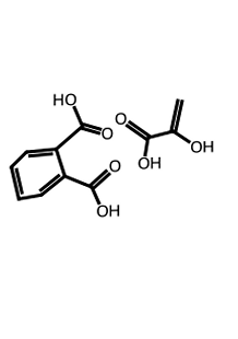 C=C(O)C(=O)O.O=C(O)c1ccccc1C(=O)O